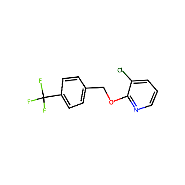 FC(F)(F)c1ccc(COc2ncccc2Cl)cc1